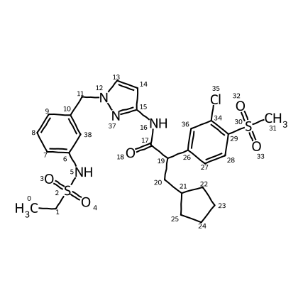 CCS(=O)(=O)Nc1cccc(Cn2ccc(NC(=O)C(CC3CCCC3)c3ccc(S(C)(=O)=O)c(Cl)c3)n2)c1